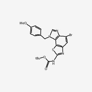 COc1ccc(Cn2cnc3c(Br)cc4nc(NC(=O)OC(C)(C)C)sc4c32)cc1